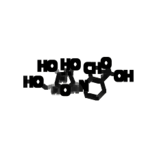 CC1=C(C(=O)O)CC=CN1[C@@H]1O[C@H](CO)[C@H](O)[C@@H]1O